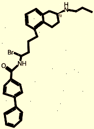 CCCN[C@H]1CCc2c(CCCC(Br)NC(=O)c3ccc(-c4ccccc4)cc3)cccc2C1